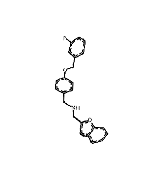 Fc1cccc(COc2ccc(CNCc3cc4ccccc4o3)cc2)c1